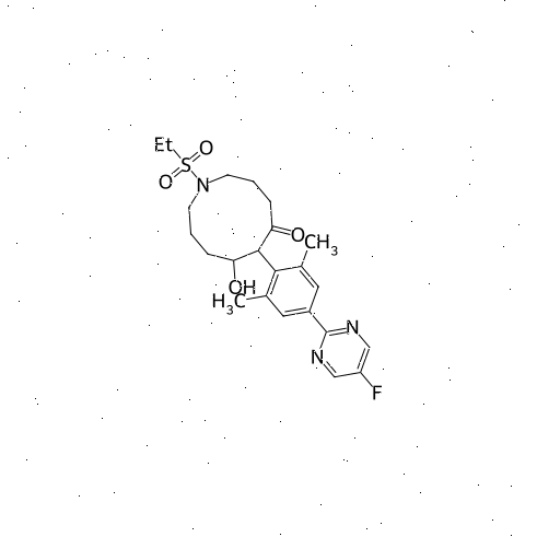 CCS(=O)(=O)N1CCCC(=O)C(c2c(C)cc(-c3ncc(F)cn3)cc2C)C(O)CCC1